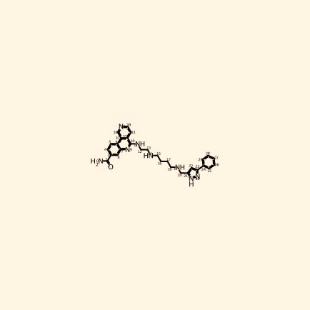 NC(=O)c1ccc2c(c1)nc(NCCNCCCCNCc1cc(-c3ccccc3)n[nH]1)c1ccncc12